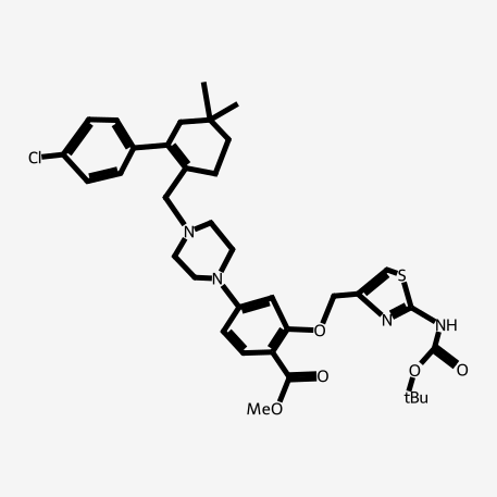 COC(=O)c1ccc(N2CCN(CC3=C(c4ccc(Cl)cc4)CC(C)(C)CC3)CC2)cc1OCc1csc(NC(=O)OC(C)(C)C)n1